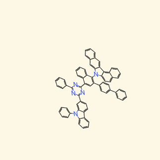 c1ccc(-c2ccc(-c3cc(-c4nc(-c5ccccc5)nc(-c5ccc6c7ccccc7n(-c7ccccc7)c6c5)n4)c4ccccc4c3-n3c4cc5ccccc5cc4c4c5ccccc5ccc43)cc2)cc1